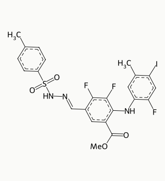 COC(=O)c1cc(/C=N/NS(=O)(=O)c2ccc(C)cc2)c(F)c(F)c1Nc1cc(C)c(I)cc1F